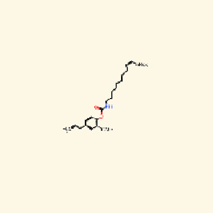 C=CCc1ccc(OC(=O)NCCCCCCCC/C=C\CCCCCC)c(OC)c1